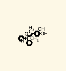 C/C(C(=O)N(c1ccccn1)C1CCCCC1)=C(/C)c1ccc(O)c(O)c1